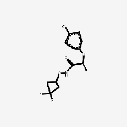 C[C@H](Oc1ccc(Cl)cc1)C(=O)NOC1CC(F)(F)C1